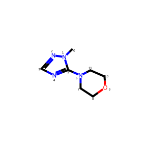 Cn1ncnc1N1CCOCC1